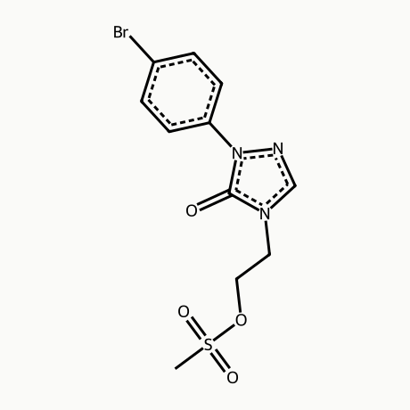 CS(=O)(=O)OCCn1cnn(-c2ccc(Br)cc2)c1=O